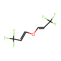 FC(F)(F)C=COC=CC(F)(F)F